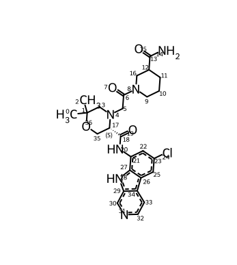 CC1(C)CN(CC(=O)N2CCCC(C(N)=O)C2)[C@H](C(=O)Nc2cc(Cl)cc3c2[nH]c2cnccc23)CO1